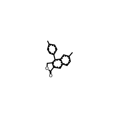 Cc1ccc(-c2c3c(cc4ccc(C)cc24)C(=O)OC3)cc1